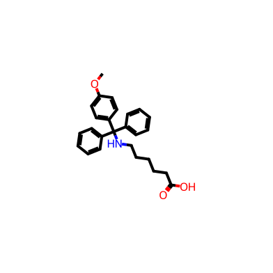 COc1ccc(C(NCCCCCC(=O)O)(c2ccccc2)c2ccccc2)cc1